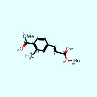 COC(=O)c1ccc(/C=C/C(=O)OC(C)(C)C)cc1C